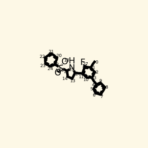 Cc1cc(-c2ccccc2)cc(C2CCC(S(=O)(=O)c3ccccc3)N2)c1F